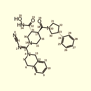 N#CN=C(N1CCc2ccccc2C1)N1CC[C@H](C(=O)N2CC[C@H](c3ccccc3)C2)[C@@H](C(=O)NO)C1